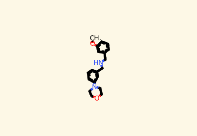 COc1cccc(CNCc2cccc(N3CCOCC3)c2)c1